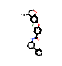 CCOC(=O)C1CCOc2cc(Oc3ccc(C(=O)NC4CCCC(c5ccccc5)C4)cc3)c(Cl)cc21